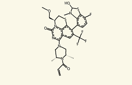 C=CC(=O)N1[C@H](C)CN(c2nc(=O)n3c4c(c(-c5ccc(F)c6c5N(C)C(O)S6)c(C(F)(F)F)cc24)SC[C@@H]3COC)C[C@@H]1C